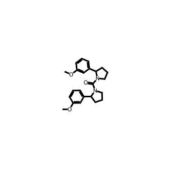 COc1cccc(C2CCCN2C(=O)N2CCCC2c2cccc(OC)c2)c1